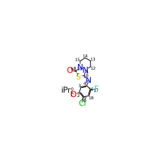 CC(C)Oc1cc(N=c2sc(=O)n3n2CCCC3)c(F)cc1Cl